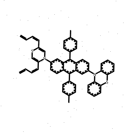 C=C/C=C\C1=CN(c2ccc3c(-c4ccc(C)cc4)c4cc(N5c6ccccc6Sc6ccccc65)ccc4c(-c4ccc(C)cc4)c3c2)C(/C=C\C=C)=CS1